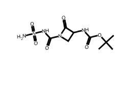 CC(C)(C)OC(=O)NC1CN(C(=O)NS(N)(=O)=O)C1=O